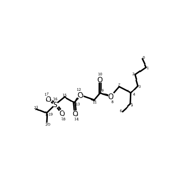 CCCCC(CC)COC(=O)COC(=O)CS(=O)(=O)C(C)C